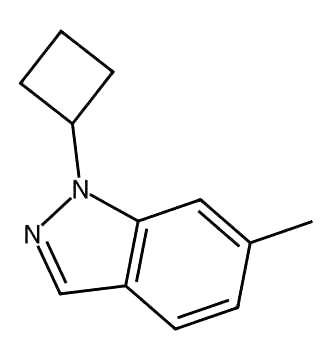 Cc1ccc2cnn(C3CCC3)c2c1